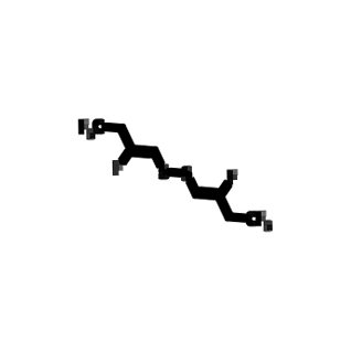 FC(=CSSC=C(F)CC(F)(F)F)CC(F)(F)F